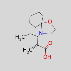 C=C(C(=O)O)C(CC)N1CCOC12CCCCC2